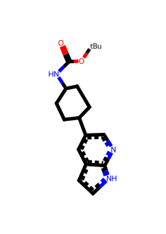 CC(C)(C)OC(=O)NC1CCC(c2cnc3[nH]ccc3c2)CC1